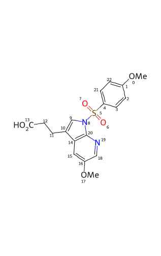 COc1ccc(S(=O)(=O)n2cc(CCC(=O)O)c3cc(OC)cnc32)cc1